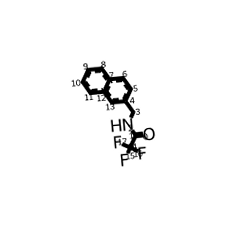 O=C(NCc1ccc2ccccc2c1)C(F)(F)F